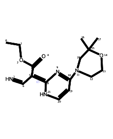 CCOC(=O)/C(C=N)=C1\N=C(N2CCOC(C)(C)C2)C=CN1